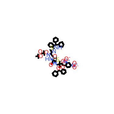 CC(C)(C)OC(=O)C(C)(C)ON=C(C(=O)NC1C(=O)N2CC(C=Cc3ccc([N+](=O)[O-])cc3[N+](=O)[O-])(C(=O)OC(c3ccccc3)c3ccccc3)CS[C@H]12)c1csc(NC(c2ccccc2)(c2ccccc2)c2ccccc2)n1